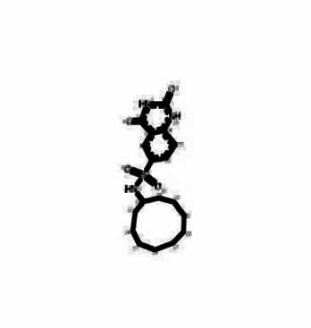 O=c1[nH]c(=O)c2cc(S(=O)(=O)NC3CCCCCCCCC3)ccc2[nH]1